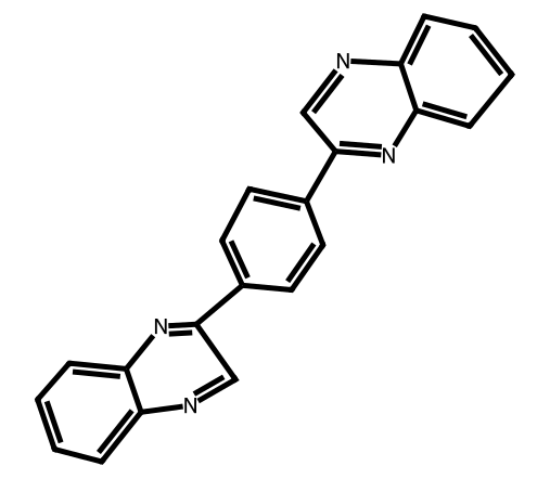 c1ccc2nc(-c3ccc(-c4cnc5ccccc5n4)cc3)cnc2c1